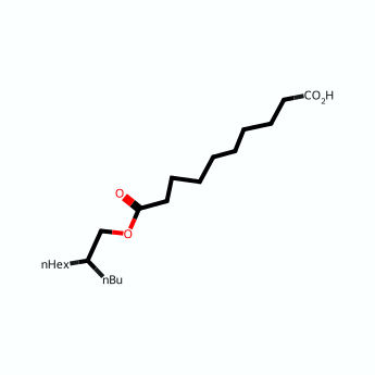 CCCCCCC(CCCC)COC(=O)CCCCCCCCC(=O)O